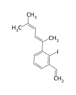 C=Cc1cccc(/C(C)=C/C=C(C)C)c1I